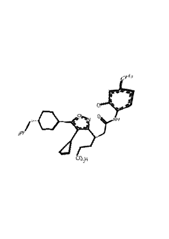 Cc1ccc(NC(=O)C[C@@H](CCC(=O)O)c2noc([C@H]3CC[C@H](CC(C)C)CC3)c2C2CC2)c(Cl)c1